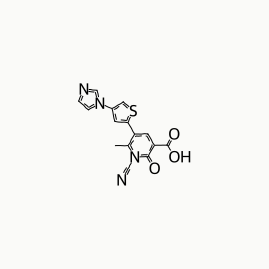 Cc1c(-c2cc(-n3ccnc3)cs2)cc(C(=O)O)c(=O)n1C#N